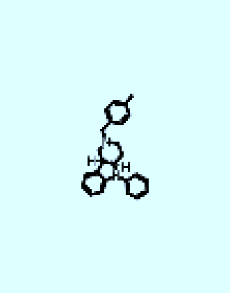 Cc1ccc(CN2CC[C@@H]3[C@@H](C2)c2ccccc2N3c2ccccc2)cc1